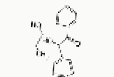 CCCO.O=C(c1ccccc1)C(O)c1ccccc1